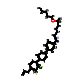 C=CCc1ccc(-c2ccc(-c3ccc(/C=C/CCCC(C)OCCCCC)cc3)cc2)c(F)c1F